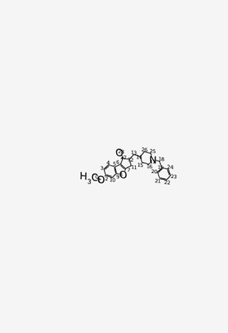 COc1ccc2c3c(oc2c1)CC(CC1CCN(Cc2ccccc2)CC1)C3=O